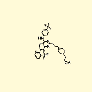 OCCC1CCN(CCCc2nc(Nc3ccc(C(F)(F)F)cc3)c3ccc(-c4ncccc4C(F)(F)F)cc3n2)CC1